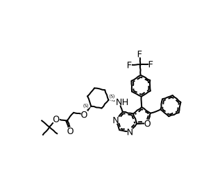 CC(C)(C)OC(=O)CO[C@H]1CCC[C@H](Nc2ncnc3oc(-c4ccccc4)c(-c4ccc(C(F)(F)F)cc4)c23)C1